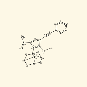 COc1c(C#Cc2ccccc2)sc(C(=O)O)c1C12CC3CC(CC(C3)C1)C2